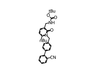 CCCCc1ccc(CNC(=O)OC(C)(C)C)c(=O)n1Cc1ccc(-c2ccccc2C#N)cc1